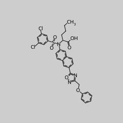 CCCCC(C(=O)O)N(c1ccc2cc(-c3nc(COc4ccccc4)no3)ccc2c1)S(=O)(=O)c1cc(Cl)cc(Cl)c1